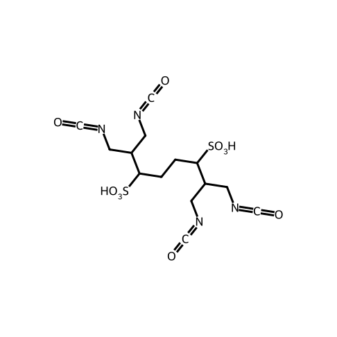 O=C=NCC(CN=C=O)C(CCC(C(CN=C=O)CN=C=O)S(=O)(=O)O)S(=O)(=O)O